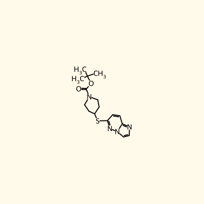 CC(C)(C)OC(=O)N1CCC(Sc2ccc3nccn3n2)CC1